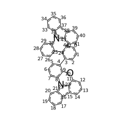 c1ccc(-c2cccc3c2Oc2cccc4c5ccccc5n-3c24)c(-c2ccccc2-n2c3ccccc3c3ccccc32)c1